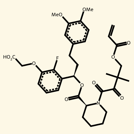 C=CC(=O)OCC(C)(C)C(=O)C(=O)N1CCCC[C@H]1C(=O)O[C@H](CCc1ccc(OC)c(OC)c1)c1cccc(OCC(=O)O)c1F